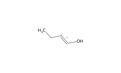 CC/[C]=C/O